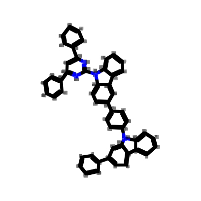 c1ccc(-c2ccc3c4ccccc4n(-c4ccc(-c5ccc6c(c5)c5ccccc5n6-c5nc(-c6ccccc6)cc(-c6ccccc6)n5)cc4)c3c2)cc1